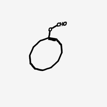 O=COC1=CCCCCCCCCCC1